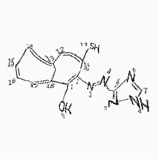 Oc1c(/N=N/c2nc[nH]n2)c(S)cc2ccccc12